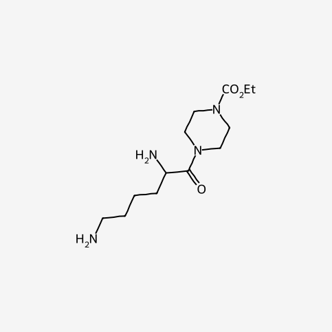 CCOC(=O)N1CCN(C(=O)C(N)CCCCN)CC1